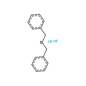 F.F.c1ccc([CH2][Ti][CH2]c2ccccc2)cc1